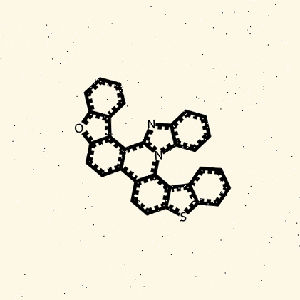 c1ccc2c(c1)nc1c3c(ccc4oc5ccccc5c43)c3ccc4sc5ccccc5c4c3n21